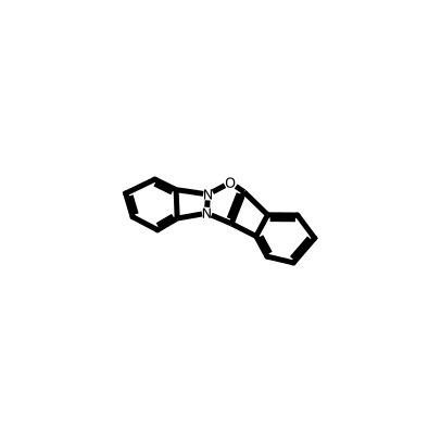 c1ccc2c(c1)c1on3c4ccccc4n3c21